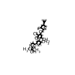 Cc1cnc(-c2ccnc(C(C)(C)O)n2)cc1-n1c(C)cc(OCc2ncc(C3CC3)cc2F)c(Cl)c1=O